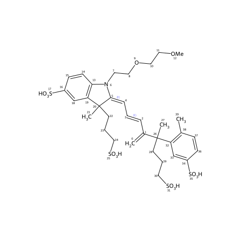 C=C(/C=C/C=C1/N(CCOCCOC)c2ccc(S(=O)(=O)O)cc2C1(C)CCCS(=O)(=O)O)C(C)(CCCS(=O)(=O)O)c1cc(S(=O)(=O)O)ccc1C